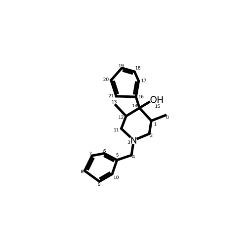 CC1CN(Cc2ccccc2)CC(C)C1(O)c1ccccc1